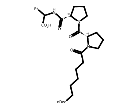 CCCCCCCCCCCCCCCC(=O)N1CCC[C@H]1C(=O)N1CCC[C@H]1C(=O)NC(CC)C(=O)O